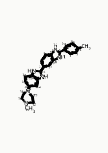 Cc1ccc(C2Nc3ccc(C4Nc5ccc(N6CCN(C)CC6)cc5N4)cc3N2)cc1